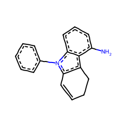 Nc1cccc2c1c1c(n2-c2ccccc2)C=CCC1